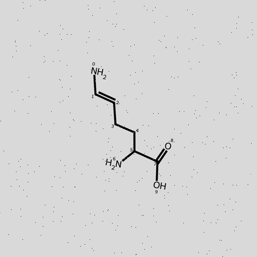 NC=CCCC(N)C(=O)O